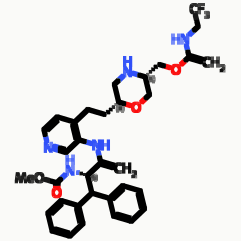 C=C(NCC(F)(F)F)OC[C@@H]1CO[C@H](CCc2ccncc2NC(=C)[C@@H](NC(=O)OC)C(c2ccccc2)c2ccccc2)CN1